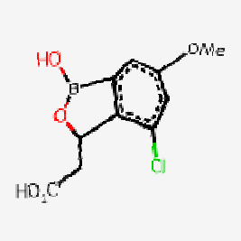 COc1cc(Cl)c2c(c1)B(O)OC2CC(=O)O